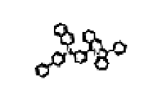 c1ccc(-c2ccc(N(c3cccc(-c4c5ccccc5cc5c(-c6ccccc6)c6ccccc6n45)c3)c3ccc4ccccc4c3)cc2)cc1